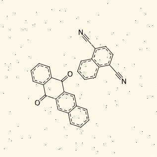 N#Cc1ccc(C#N)c2ccccc12.O=C1c2ccccc2C(=O)c2cc3ccccc3cc21